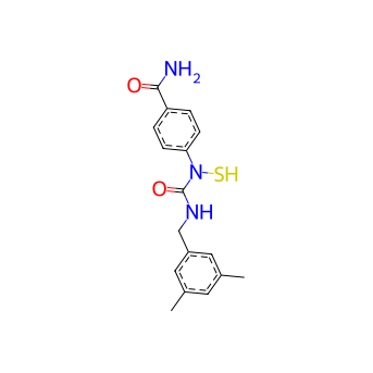 Cc1cc(C)cc(CNC(=O)N(S)c2ccc(C(N)=O)cc2)c1